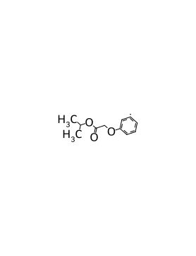 CC(C)OC(=O)COc1c[c]ccc1